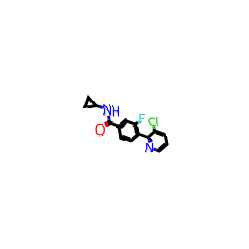 O=C(NC1CC1)c1ccc(-c2ncccc2Cl)c(F)c1